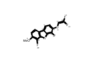 COc1ccc2c(sc3c(F)c(OC=C(F)F)ccc32)c1F